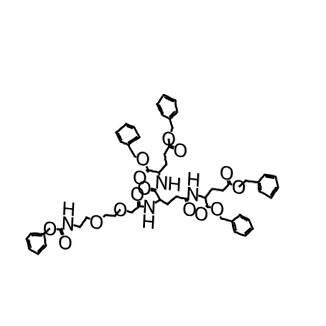 O=C(COCCOCCNC(=O)Oc1ccccc1)NC(CCC(=O)NC(CCC(=O)OCc1ccccc1)C(=O)OCc1ccccc1)C(=O)NC(CCC(=O)OCc1ccccc1)C(=O)OCc1ccccc1